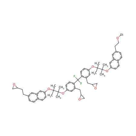 CCOCCc1ccc2ccc(OC(C)(C)C(C)(C)Oc3ccc(C(F)(F)c4ccc(OC(C)(C)C(C)(C)Oc5ccc6ccc(CCC7CO7)cc6c5)cc4CC4CO4)c(CC4CO4)c3)cc2c1